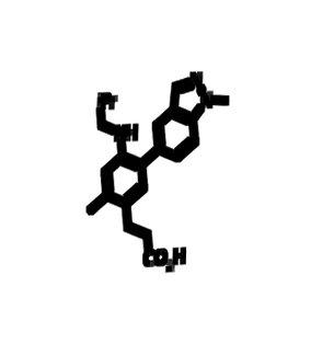 Cc1cc(NCC(C)C)c(-c2ccc3c(cnn3C)c2)cc1CCC(=O)O